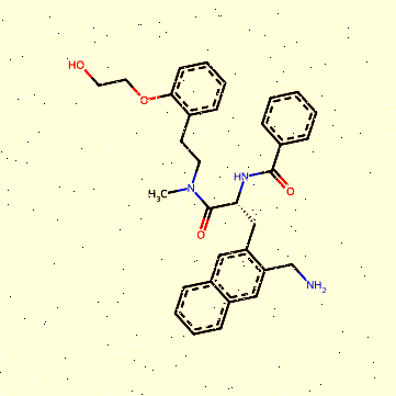 CN(CCc1ccccc1OCCO)C(=O)[C@@H](Cc1cc2ccccc2cc1CN)NC(=O)c1ccccc1